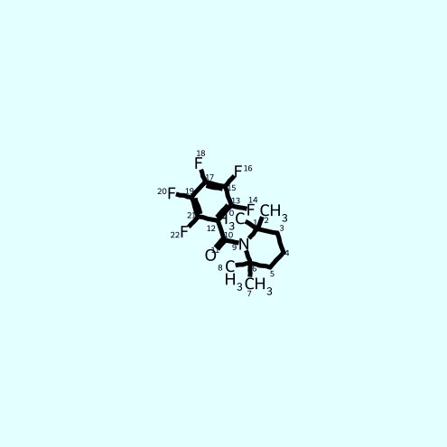 CC1(C)CCCC(C)(C)N1C(=O)c1c(F)c(F)c(F)c(F)c1F